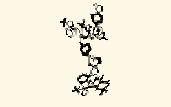 COc1ccc(S(=O)(=O)N(CC(C)C)C[C@H]2OC(C)(C)N(C(=O)OC(C)(C)C)[C@H]2Cc2ccc(N3CC[C@H](Oc4ccccc4-n4nc5c(c4C(=O)OC(C)(C)C)CC(C)(C)CC5)C3)cc2)cc1